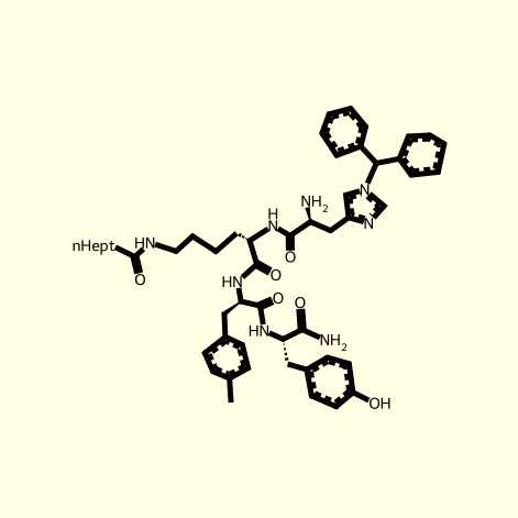 CCCCCCCC(=O)NCCCC[C@H](NC(=O)[C@@H](N)Cc1cn(C(c2ccccc2)c2ccccc2)cn1)C(=O)N[C@H](Cc1ccc(C)cc1)C(=O)N[C@@H](Cc1ccc(O)cc1)C(N)=O